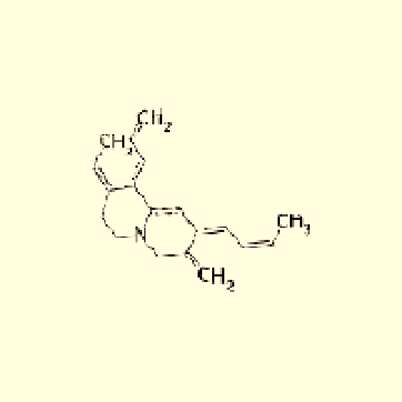 C=C/C=C1C2=C/C(=C/C=C\C)C(=C)CN2CCC/1=C/C